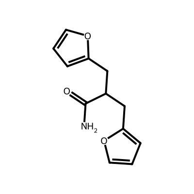 NC(=O)C(Cc1ccco1)Cc1ccco1